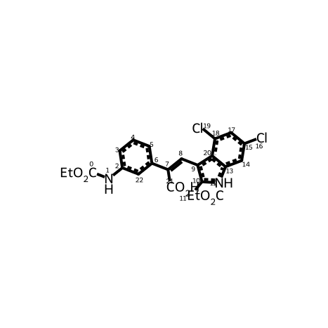 CCOC(=O)Nc1cccc(/C(=C/c2c(C(=O)OCC)[nH]c3cc(Cl)cc(Cl)c23)C(=O)O)c1